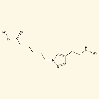 CC(C)NCCc1cn(CCCCCC(=O)NC(C)C)nn1